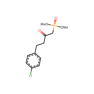 COP(=O)(CC(=O)CCc1ccc(Cl)cc1)OC